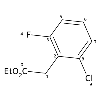 CCOC(=O)Cc1c(F)cccc1Cl